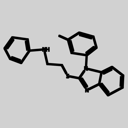 Cc1cccc(-n2c(SCCNc3ccccc3)nc3ccccc32)c1